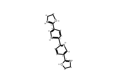 c1cc(-c2ccc(C3=NCCO3)cn2)ncc1C1=NCCO1